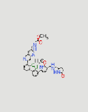 COC(=O)CNCc1cnc2cc(-c3cccc(-c4cccc(-c5ccc(CNCC6CCC(=O)N6)c(OC)n5)c4Cl)c3Cl)ncc2c1